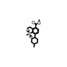 CCc1c(C(=O)OC)ccc(C2CCC(C)CC2)c1S(C)(=O)=O